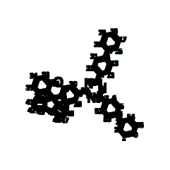 c1ccc(-c2ccc(-c3nc(-c4ccc(-c5ccccc5)cc4)nc(-c4ccc5c(c4)Oc4ccccc4C54c5ccccc5-c5ccccc54)n3)cc2)cc1